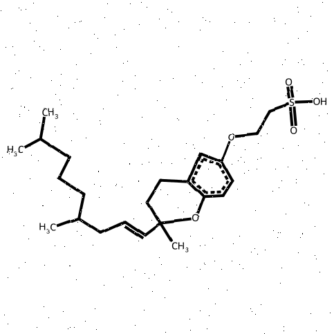 CC(C)CCCC(C)CC=CC1(C)CCc2cc(OCCS(=O)(=O)O)ccc2O1